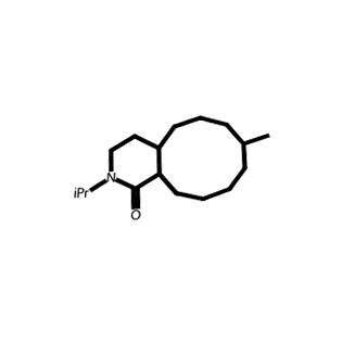 CC1CCCCC2C(=O)N(C(C)C)CCC2CCC1